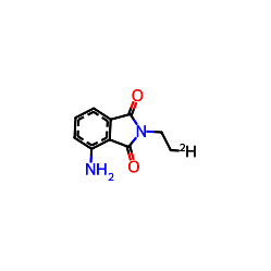 [2H]CCN1C(=O)c2cccc(N)c2C1=O